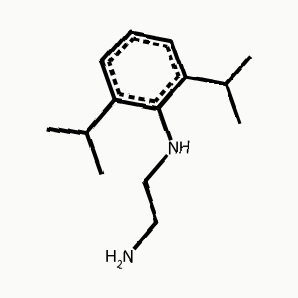 CC(C)c1cccc(C(C)C)c1NCCN